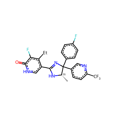 CCc1c(C2=NC(c3ccc(F)cc3)(c3ccc(C(F)(F)F)nc3)[C@H](C)N2)c[nH]c(=O)c1F